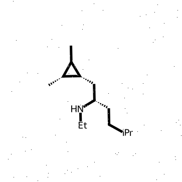 CCN[C@@H](CCC(C)C)C[C@H]1C(C)[C@H]1C